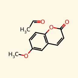 CC=O.COc1ccc2oc(=O)ccc2c1